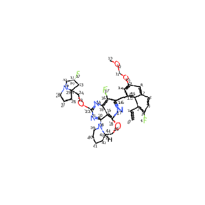 C=Cc1c(F)ccc2cc(OCOC)cc(-c3nc4c5c(nc(OC[C@@]67CCCN6C[C@H](F)C7)nc5c3F)N3CCCC[C@H]3CO4)c12